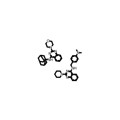 CN(C)c1ccc(CNc2nc(N3CCCCC3)nc3ccccc23)cc1.c1ccc2c(NC34CC5CC(CC(C5)C3)C4)nc(N3CCOCC3)nc2c1